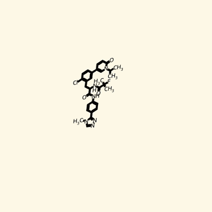 CC(C)n1cc(-c2ccc(Cl)c(CC(NC(=O)C(C)(C)F)C(=O)Nc3ccc(-c4nncn4C)cc3)c2)ccc1=O